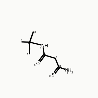 CC(C)(C)NC(=O)CC(N)=S